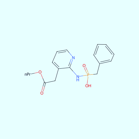 CCCOC(=O)Cc1cccnc1NP(=O)(O)Cc1ccccc1